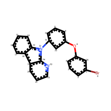 Brc1cccc(Oc2cccc(-n3c4ccccc4c4cccnc43)c2)c1